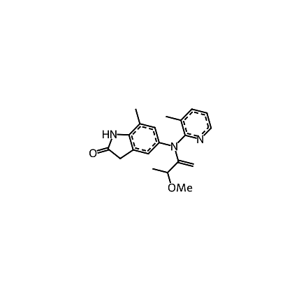 C=C(C(C)OC)N(c1cc(C)c2c(c1)CC(=O)N2)c1ncccc1C